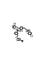 O=C(Nc1cc(CCCS(=O)(=O)c2ccc(Cl)cc2)ccc1OCc1nnn[nH]1)c1cccc(COc2nc(C3CC3)cs2)c1